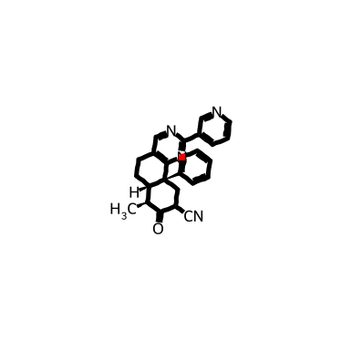 C[C@@H]1C(=O)C(C#N)C[C@@]2(c3ccccc3)c3nc(-c4cccnc4)ncc3CC[C@@H]12